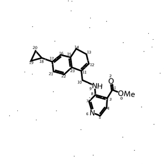 COC(=O)c1ccncc1NCC1=CCCc2cc(C3CC3)ccc21